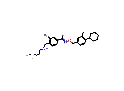 CCc1cc(/C(C)=N/OCc2ccc(C3CCCCC3)c(C)c2)ccc1CNCCC(=O)O